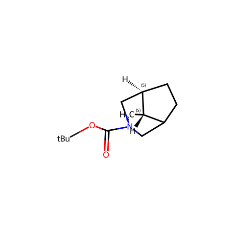 C[C@H]1C2CC[C@@H]1CN(C(=O)OC(C)(C)C)C2